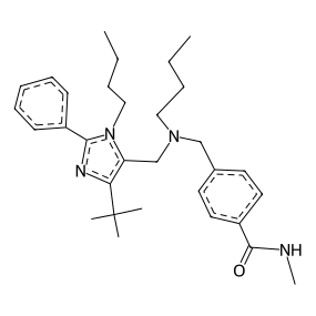 CCCCN(Cc1ccc(C(=O)NC)cc1)Cc1c(C(C)(C)C)nc(-c2ccccc2)n1CCCC